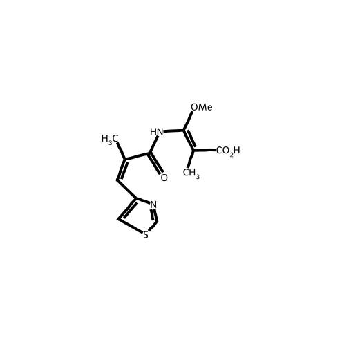 COC(NC(=O)C(C)=Cc1cscn1)=C(C)C(=O)O